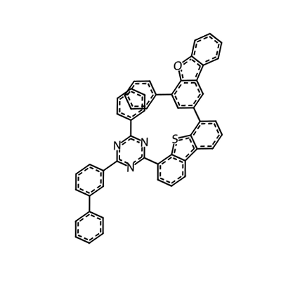 c1ccc(-c2cccc(-c3nc(-c4ccccc4)nc(-c4cccc5c4sc4c(-c6cc(-c7ccccc7)c7oc8ccccc8c7c6)cccc45)n3)c2)cc1